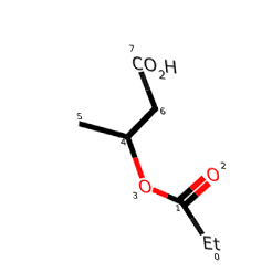 CCC(=O)OC(C)CC(=O)O